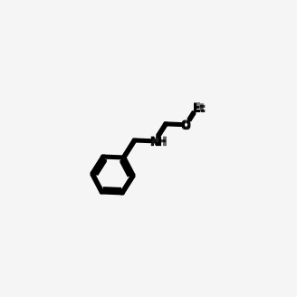 CCOCNCc1ccccc1